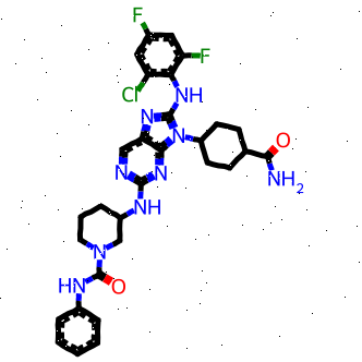 NC(=O)C1CCC(n2c(Nc3c(F)cc(F)cc3Cl)nc3cnc(NC4CCCN(C(=O)Nc5ccccc5)C4)nc32)CC1